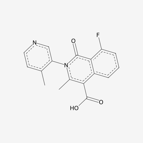 Cc1ccncc1-n1c(C)c(C(=O)O)c2cccc(F)c2c1=O